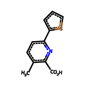 Cc1ccc(-c2cccs2)nc1C(=O)O